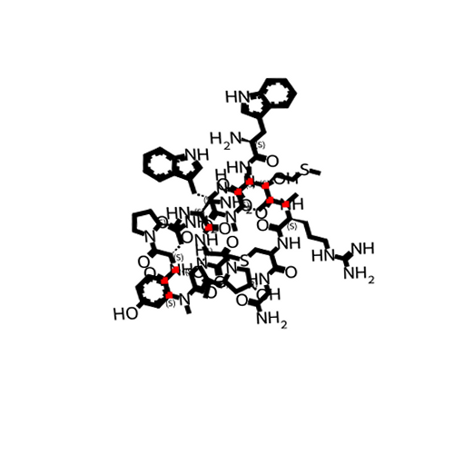 CCCC[C@@H](C(=O)N(C)[C@@H](CCSC)C(=O)N[C@@H](CCCNC(=N)N)C(=O)NC(CSCC(=O)N[C@@H](Cc1ccc(O)cc1)C(=O)N(C)[C@@H](C)C(=O)N[C@@H](CC(N)=O)C(=O)N1CCC[C@H]1C(=O)N[C@@H](CN)C(=O)N[C@@H](CC(C)C)C(=O)N1C[C@H](O)C[C@H]1C(C)=O)C(=O)NCC(N)=O)N(C)C(=O)[C@H](Cc1c[nH]c2ccccc12)NC(=O)[C@H](CO)NC(=O)[C@@H](N)Cc1c[nH]c2ccccc12